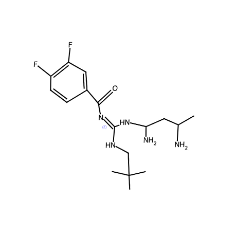 CC(N)CC(N)N/C(=N\C(=O)c1ccc(F)c(F)c1)NCC(C)(C)C